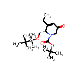 CCC1=CC(=O)CN(C(=O)OC(C)(C)C)[C@@H]1CO[Si](C)(C)C(C)(C)C